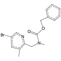 Cc1cc(Br)cnc1CN(C)C(=O)OCc1ccccc1